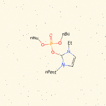 CCCCCN1C=CN(CC)C1OP(=O)(OCCCC)OCCCC